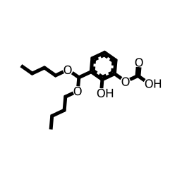 CCCCOC(OCCCC)c1cccc(OC(=O)O)c1O